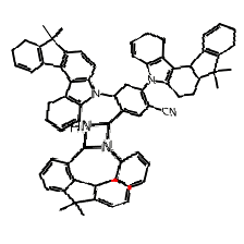 CC1(C)C2=CC=CCC2c2c(C3NC(C4=CC(C#N)=C(n5c6c(c7c5CCC5C7C7=C(CCC=C7)C5(C)C)CCC=C6)CC4n4c5c(c6c7c(ccc64)C(C)(C)C4=C7C=CCC4)CCC=C5)N3C3C=CC=CC3)cccc21